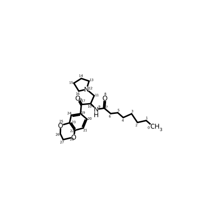 CCCCCCCC(=O)NC(CN1CCCC1)C(=O)c1ccc2c(c1)OCCO2